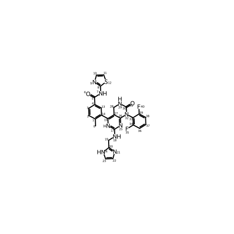 Cc1ccc(C(=O)Nc2nccs2)cc1-c1nc(NCc2ncc[nH]2)nc2c1CNC(=O)N2c1c(F)cccc1F